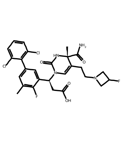 Cc1cc(-c2c(Cl)cccc2Cl)cc([C@H](CC(=O)O)N2C=C(CCN3CC(F)C3)[C@@](C)(C(N)=O)NC2=O)c1F